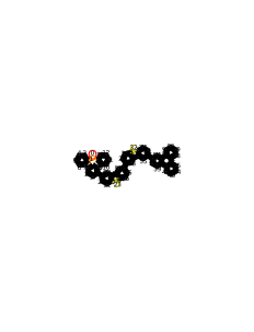 O=P(c1ccccc1)(c1ccccc1)c1cccc(-c2ccc3sc4ccc(-c5ccc6sc7ccc(-c8ccc9c%10ccccc%10c%10ccccc%10c9c8)cc7c6c5)cc4c3c2)c1